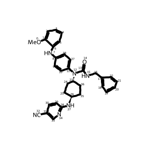 COc1ccccc1Nc1ccc(N(C(=O)NCc2ccccc2)[C@H]2CC[C@H](Nc3ccc(C#N)cn3)CC2)cc1